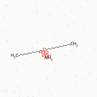 CCCCCCCCCCCCCCOCCCCCCCCCCCCCC.O=S(=O)(O)O.[AlH3]